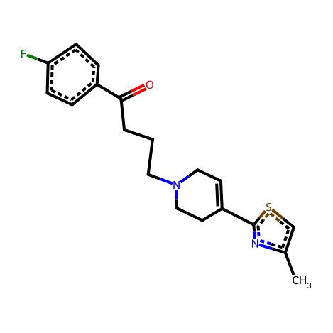 Cc1csc(C2=CCN(CCCC(=O)c3ccc(F)cc3)CC2)n1